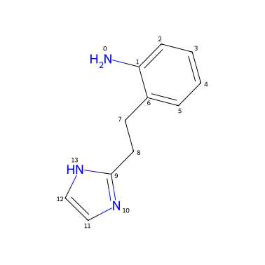 Nc1ccccc1CCc1ncc[nH]1